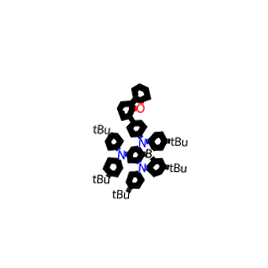 CC(C)(C)c1ccc(N(c2ccc(C(C)(C)C)cc2)c2cc3c4c(c2)N(c2ccc(C(C)(C)C)cc2)c2ccc(C(C)(C)C)cc2B4c2cc(C(C)(C)C)ccc2N3c2ccc(-c3cccc4c3oc3ccccc34)cc2)cc1